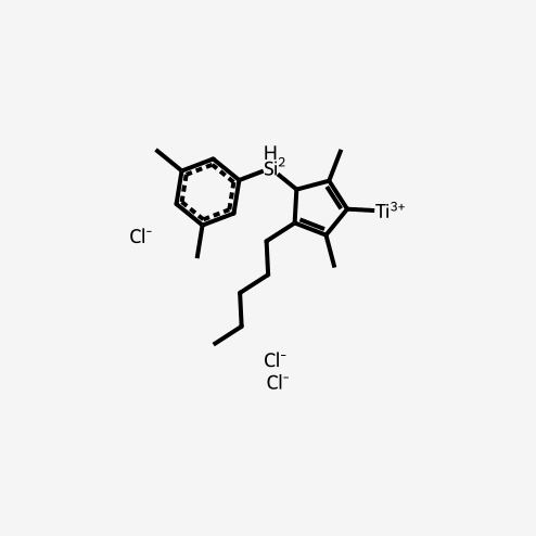 CCCCCC1=C(C)[C]([Ti+3])=C(C)C1[SiH2]c1cc(C)cc(C)c1.[Cl-].[Cl-].[Cl-]